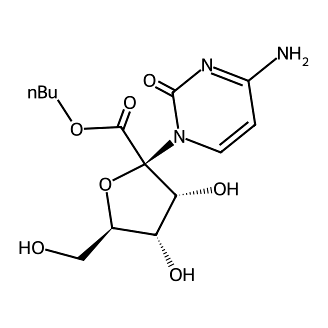 CCCCOC(=O)[C@@]1(n2ccc(N)nc2=O)O[C@H](CO)[C@@H](O)[C@H]1O